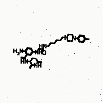 C=C1CCC(NC(=C)c2cc(NCC(=O)NCCCCCCN3CCN(c4ccc(C)cc4)CC3)ccc2N)C(=C)N1